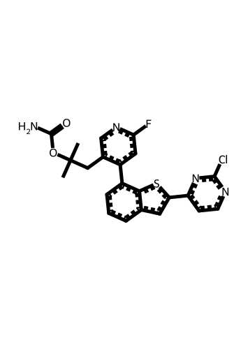 CC(C)(Cc1cnc(F)cc1-c1cccc2cc(-c3ccnc(Cl)n3)sc12)OC(N)=O